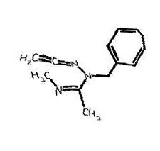 C=C=NN(Cc1ccccc1)/C(C)=N\C